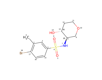 Cc1cc(S(=O)(=O)N[C@@H]2COCC[C@H]2O)ccc1Br